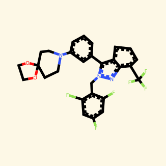 Fc1cc(F)c(Cn2nc3c(C(F)(F)F)cccc3c2-c2cccc(N3CCC4(CC3)OCCO4)c2)c(F)c1